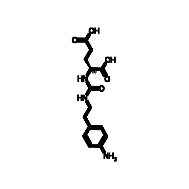 Nc1ccc(CCNC(=O)N[C@@H](CCC(=O)O)C(=O)O)cc1